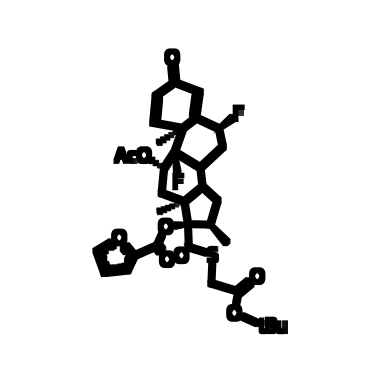 CC(=O)O[C@H]1C[C@@]2(C)C(C[C@@H](C)[C@]2(OC(=O)c2ccco2)C(=O)SCC(=O)OC(C)(C)C)C2C[C@H](F)C3=CC(=O)C=C[C@]3(C)[C@]21F